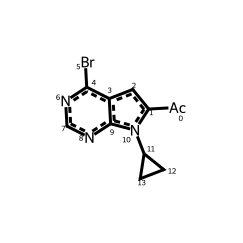 CC(=O)c1cc2c(Br)ncnc2n1C1CC1